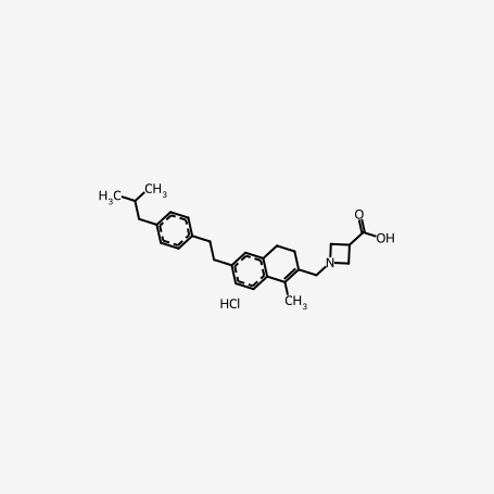 CC1=C(CN2CC(C(=O)O)C2)CCc2cc(CCc3ccc(CC(C)C)cc3)ccc21.Cl